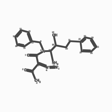 CC(=O)C(=[N+]=[N-])C(=O)N(Cc1ccccc1)C(N)C(O)CCc1ccccc1